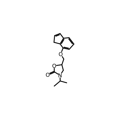 CC(C)N1CC(COc2cccc3c2CC=C3)OC1=O